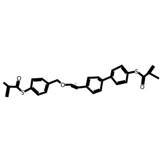 C=C(C)C(=O)Sc1ccc(CO/C=C/c2ccc(-c3ccc(SC(=O)C(=C)C)cc3)cc2)cc1